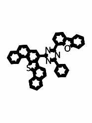 c1ccc(-c2nc(-c3cccc4c3oc3ccccc34)nc(-c3cc4ccc5ccccc5c4c4sc5c6ccccc6ccc5c34)n2)cc1